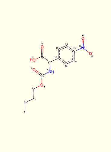 CCCCOC(=O)NC(C(=O)O)c1ccc([N+](=O)[O-])cc1